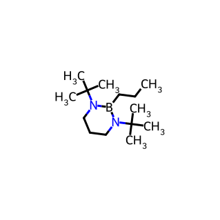 CCCB1N(C(C)(C)C)CCCN1C(C)(C)C